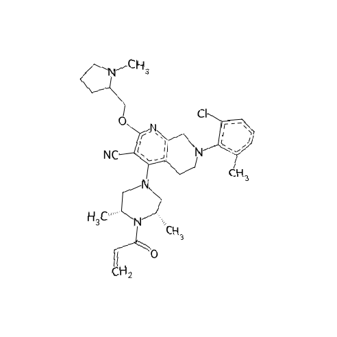 C=CC(=O)N1[C@H](C)CN(c2c(C#N)c(OCC3CCCN3C)nc3c2CCN(c2c(C)cccc2Cl)C3)C[C@@H]1C